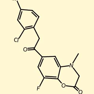 CN1CC(=O)Oc2c(F)cc(C(=O)Cc3ccc(Br)cc3Cl)cc21